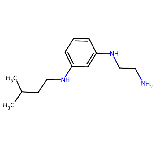 CC(C)CCNc1cccc(NCCN)c1